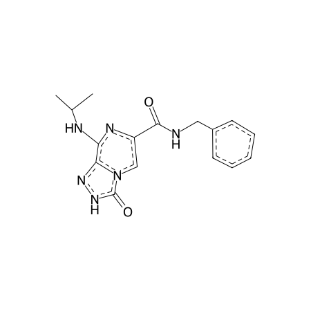 CC(C)Nc1nc(C(=O)NCc2ccccc2)cn2c(=O)[nH]nc12